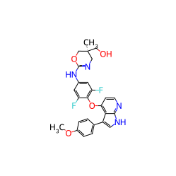 COc1ccc(-c2c[nH]c3nccc(Oc4c(F)cc(NC5=NC[C@](C)(CO)CO5)cc4F)c23)cc1